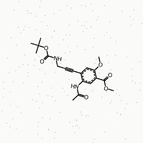 COC(=O)c1cc(NC(C)=O)c(C#CCNC(=O)OC(C)(C)C)cc1OC